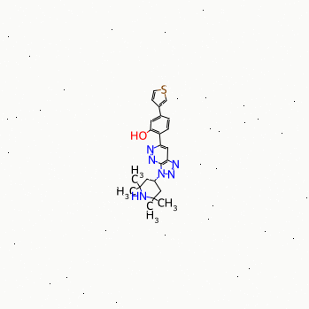 CC1(C)CC(n2nnc3cc(-c4ccc(-c5ccsc5)cc4O)nnc32)CC(C)(C)N1